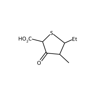 CCC1SC(C(=O)O)C(=O)C1C